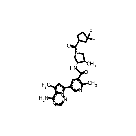 Cc1ncc(-c2cc(C(F)(F)F)c3c(N)ncnn23)cc1C(=O)N[C@@H]1CN(C(=O)C2CCC(F)(F)C2)C[C@@H]1C